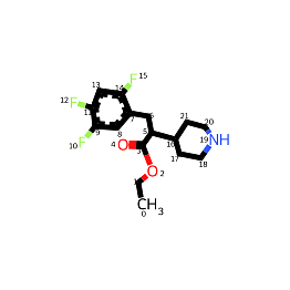 CCOC(=O)C(Cc1cc(F)c(F)cc1F)C1CCNCC1